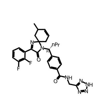 CCC[C@H](c1ccc(C(=O)NCc2nn[nH]n2)cc1)N1C(=O)C(c2cccc(F)c2F)=NC12CC=CC(C)C2